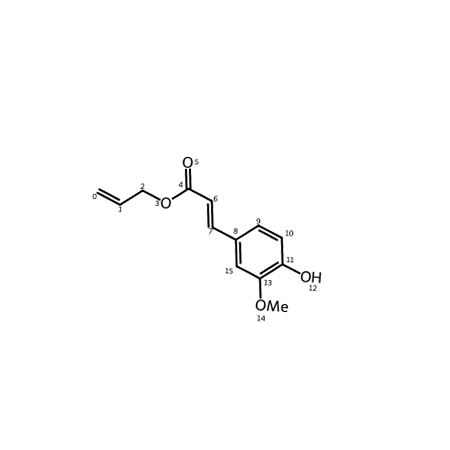 C=CCOC(=O)C=Cc1ccc(O)c(OC)c1